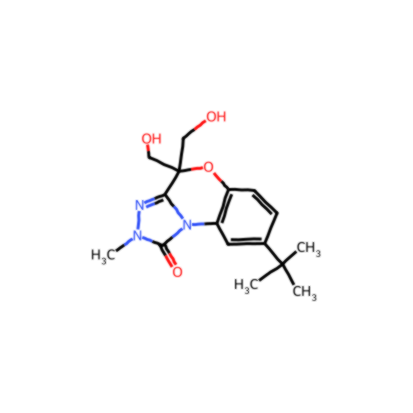 Cn1nc2n(c1=O)-c1cc(C(C)(C)C)ccc1OC2(CO)CO